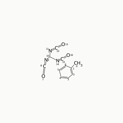 Cc1ccccc1.O=C=NC(N=C=O)N=C=O